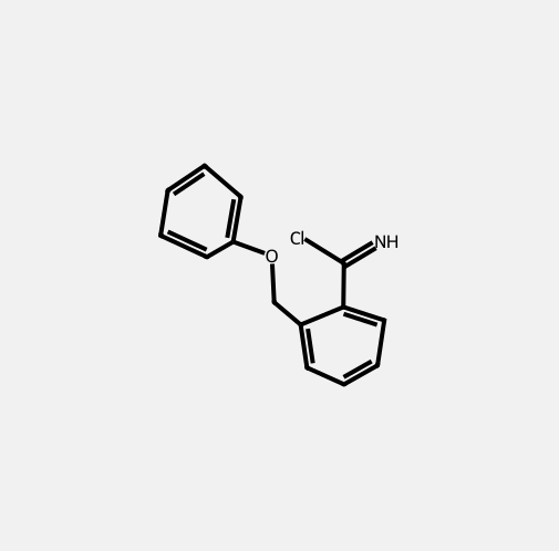 N=C(Cl)c1ccccc1COc1ccccc1